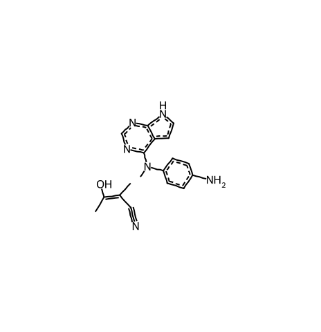 CC(O)=C(C)C#N.CN(c1ccc(N)cc1)c1ncnc2[nH]ccc12